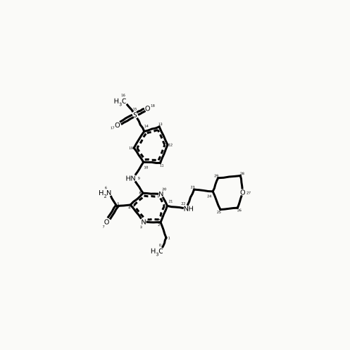 CCc1nc(C(N)=O)c(Nc2cccc(S(C)(=O)=O)c2)nc1NCC1CCOCC1